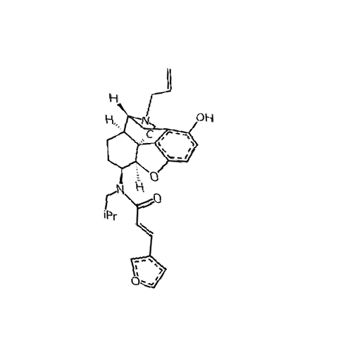 C=CCN1CC[C@@]23c4c5ccc(O)c4C[C@@H]1[C@@H]2CC[C@H](N(CC(C)C)C(=O)/C=C/c1ccoc1)[C@@H]3O5